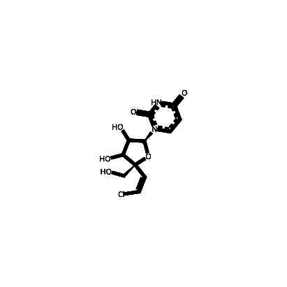 O=c1ccn([C@H]2O[C@@](/C=C\Cl)(CO)C(O)C2O)c(=O)[nH]1